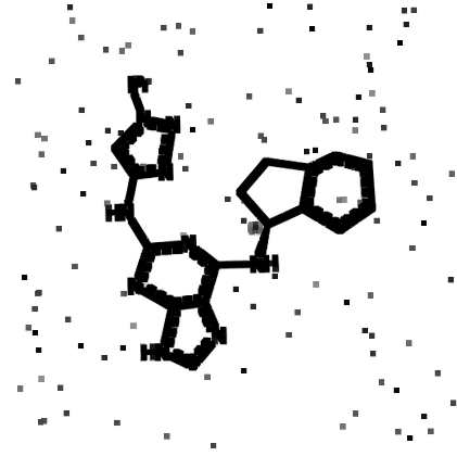 CC(C)n1cc(Nc2nc(N[C@H]3CCc4ccccc43)c3nc[nH]c3n2)nn1